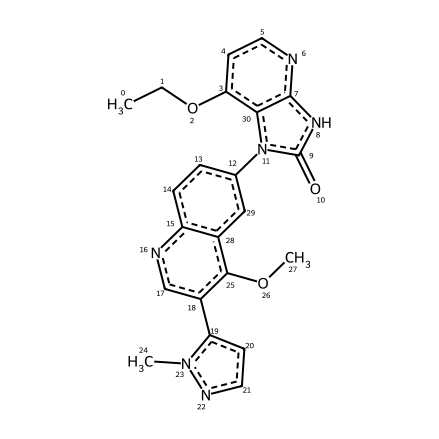 CCOc1ccnc2[nH]c(=O)n(-c3ccc4ncc(-c5ccnn5C)c(OC)c4c3)c12